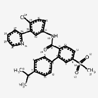 CC(C)c1ccc(-c2cc(S(C)(=O)=O)ccc2C(=O)Nc2ccc(Cl)c(-c3ccccn3)c2)cc1